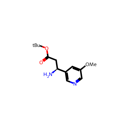 COc1cncc([C@@H](N)CC(=O)OC(C)(C)C)c1